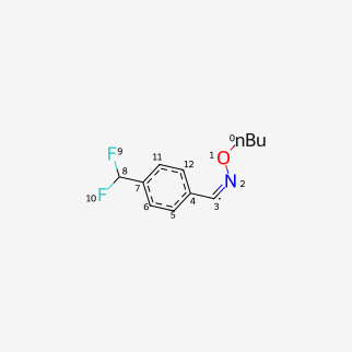 CCCCO/N=[C]\c1ccc(C(F)F)cc1